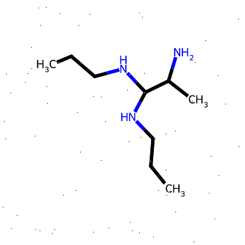 CCCNC(NCCC)C(C)N